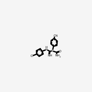 N#Cc1ccc(N(C(=N)Nc2ccc(Cl)cc2)C(N)=O)cc1